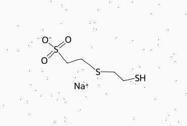 O=S(=O)([O-])CCSCCS.[Na+]